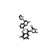 Cc1cc(-n2cccn2)c2cccc(OCc3c(Cl)cc(F)cc3C(C)N3CC(=O)NC3=O)c2n1